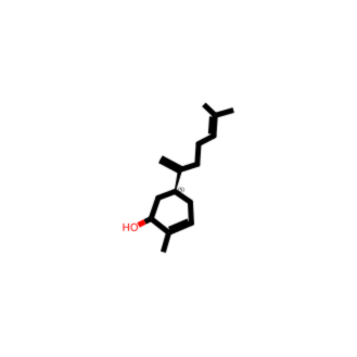 C=C(CCC=C(C)C)[C@H]1CC=C(C)C(O)C1